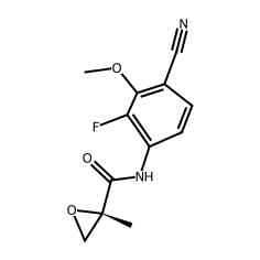 COc1c(C#N)ccc(NC(=O)[C@]2(C)CO2)c1F